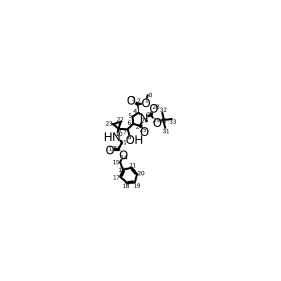 COC(=O)[C@@H]1CC(C(O)C2(NCC(=O)OCc3ccccc3)CC2)C(=O)N1C(=O)OC(C)(C)C